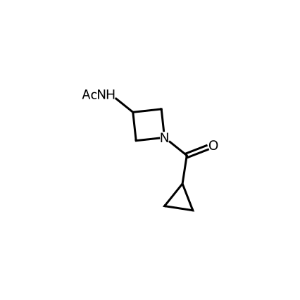 CC(=O)NC1CN(C(=O)C2CC2)C1